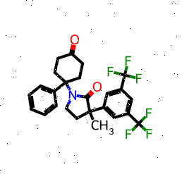 CC1(c2cc(C(F)(F)F)cc(C(F)(F)F)c2)CCN(C2(c3ccccc3)CCC(=O)CC2)C1=O